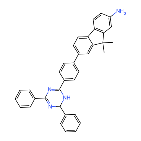 CC1(C)c2cc(N)ccc2-c2ccc(-c3ccc(C4=NC(c5ccccc5)=NC(c5ccccc5)N4)cc3)cc21